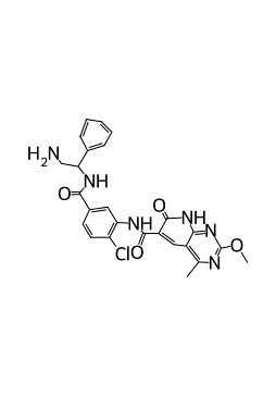 COc1nc(C)c2cc(C(=O)Nc3cc(C(=O)NC(CN)c4ccccc4)ccc3Cl)c(=O)[nH]c2n1